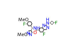 COc1ccc([C@H](NC(=O)c2cc(F)c3cnc(N[C@H]4C[C@H](F)C4)nc3c2)c2cnn(OC)c2)cc1F